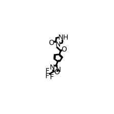 O=C(CN1CCNCC1=O)c1ccc(-c2noc(C(F)(F)F)n2)cc1